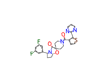 O=C(c1ccsc1-c1ncccn1)N1CCC2(CC1)OC1CCC(c3cc(F)cc(F)c3)N1C2=O